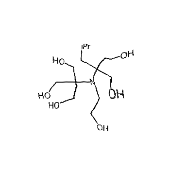 CC(C)CC(CO)(CO)N(CCO)C(CO)(CO)CO